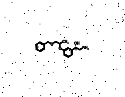 CC(COCc1ccccc1)Oc1cccc([C@H](O)CN)c1